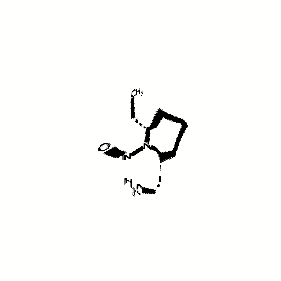 CC[C@@H]1CCC[C@H](CC)N1N=O